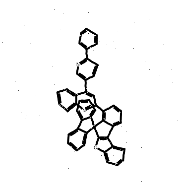 c1ccc(-c2ccc(-c3cc(-c4cccc5c4C4(c6ccccc6-c6ccccc64)c4oc6ccccc6c4-5)nc4ccccc34)cn2)cc1